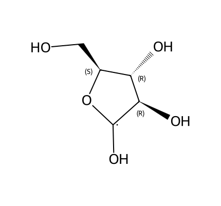 OC[C@@H]1O[C](O)[C@H](O)[C@H]1O